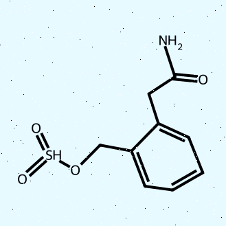 NC(=O)Cc1ccccc1CO[SH](=O)=O